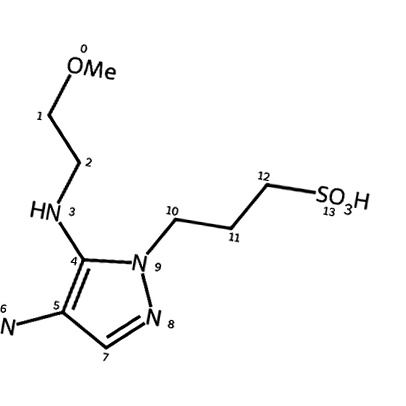 COCCNc1c(N)cnn1CCCS(=O)(=O)O